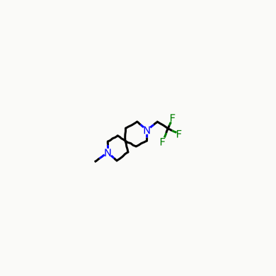 CN1CCC2(CC1)CCN(CC(F)(F)F)CC2